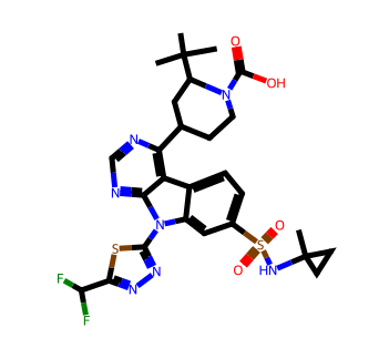 CC1(NS(=O)(=O)c2ccc3c4c(C5CCN(C(=O)O)C(C(C)(C)C)C5)ncnc4n(-c4nnc(C(F)F)s4)c3c2)CC1